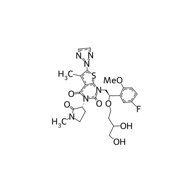 COc1ccc(F)cc1[C@H](Cn1c(=O)n([C@@H]2CCN(C)C2=O)c(=O)c2c(C)c(-n3nccn3)sc21)OCCC(O)CO